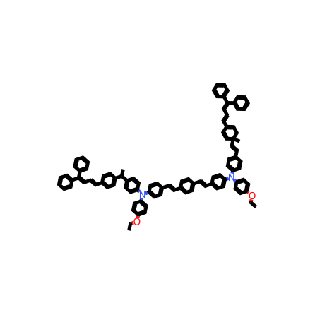 CCOc1ccc(N(c2ccc(/C=C/c3ccc(/C=C/c4ccc(N(c5ccc(OCC)cc5)c5ccc(C(C)c6ccc(C=CC=C(c7ccccc7)c7ccccc7)cc6)cc5)cc4)cc3)cc2)c2ccc(/C=C/C3(C)C=CC(/C=C/C=C(c4ccccc4)c4ccccc4)=CC3)cc2)cc1